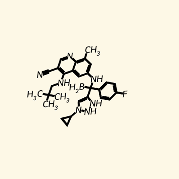 BC(Nc1cc(C)c2ncc(C#N)c(NCC(C)(C)C)c2c1)(C1=CN(C2CC2)NN1)c1ccc(F)cc1